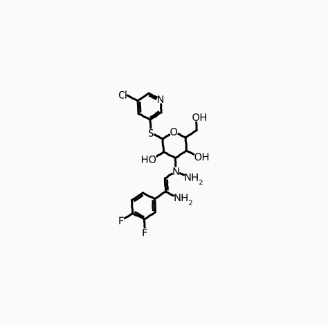 N/C(=C\N(N)C1C(O)C(CO)OC(Sc2cncc(Cl)c2)C1O)c1ccc(F)c(F)c1